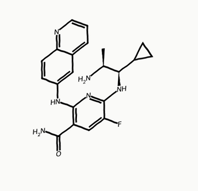 C[C@H](N)[C@H](Nc1nc(Nc2ccc3ncccc3c2)c(C(N)=O)cc1F)C1CC1